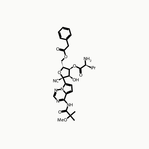 COC(C)(C)C(=O)Nc1ncnn2c([C@]3(C#N)O[C@H](COC(=O)Cc4ccccc4)[C@@H](OC(=O)[C@@H](N)C(C)C)[C@H]3O)ccc12